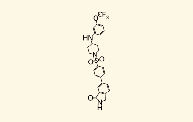 O=C1NCc2ccc(-c3ccc(S(=O)(=O)N4CCC(Nc5cccc(OC(F)(F)F)c5)CC4)cc3)cc21